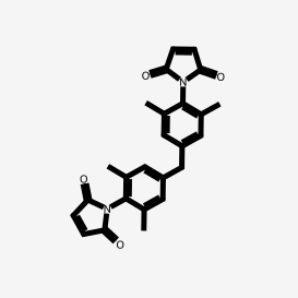 Cc1cc(Cc2cc(C)c(N3C(=O)C=CC3=O)c(C)c2)cc(C)c1N1C(=O)C=CC1=O